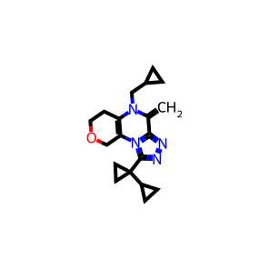 C=C1c2nnc(C3(C4CC4)CC3)n2C2=C(CCOC2)N1CC1CC1